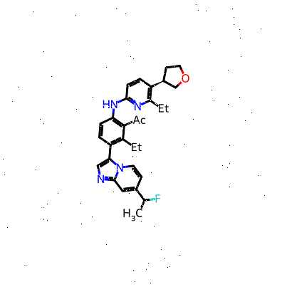 CCc1nc(Nc2ccc(-c3cnc4cc(C(C)F)ccn34)c(CC)c2C(C)=O)ccc1[C@H]1CCOC1